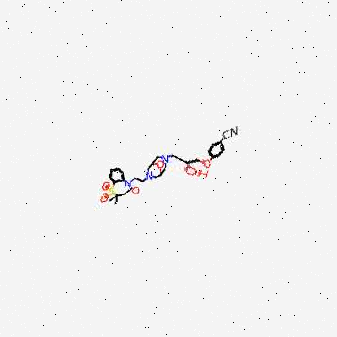 CC1(C)CC(=O)N(CCN2CC3CN(C[C@H](O)COc4ccc(C#N)cc4)CC(C2)O3)c2ccccc2S1(=O)=O